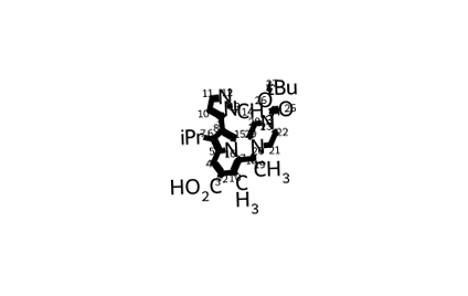 Cc1c(C(=O)O)cc2c(C(C)C)c(-c3ccnn3C)cn2c1C(C)N1CCN(C(=O)OC(C)(C)C)CC1